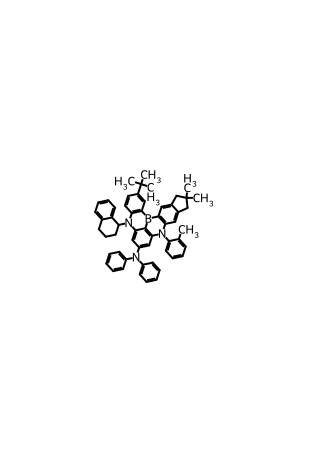 Cc1ccccc1N1c2cc3c(cc2B2c4cc(C(C)(C)C)ccc4N(C4CCCc5ccccc54)c4cc(N(c5ccccc5)c5ccccc5)cc1c42)CC(C)(C)C3